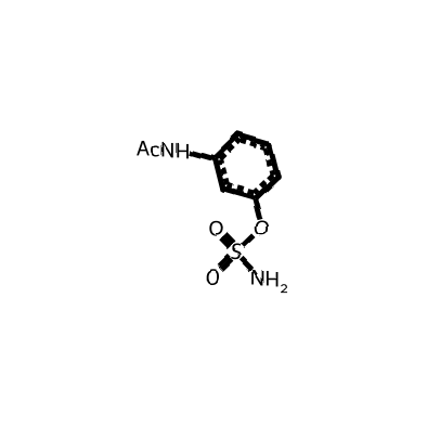 CC(=O)Nc1cccc(OS(N)(=O)=O)c1